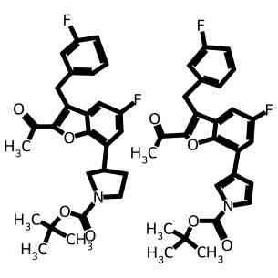 CC(=O)c1oc2c(-c3ccn(C(=O)OC(C)(C)C)c3)cc(F)cc2c1Cc1cccc(F)c1.CC(=O)c1oc2c(C3CCN(C(=O)OC(C)(C)C)C3)cc(F)cc2c1Cc1cccc(F)c1